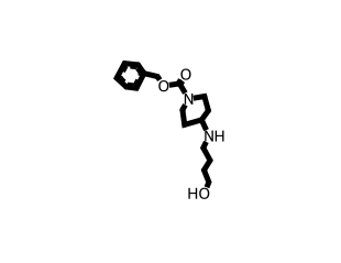 O=C(OCc1ccccc1)N1CCC(NCCCCO)CC1